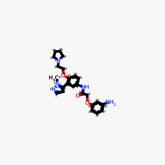 Cn1nccc1-c1cc(NC(=O)COc2cccc(N)c2)ccc1OCCN1CCCC1